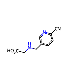 N#Cc1ccc(CNCC(=O)O)cn1